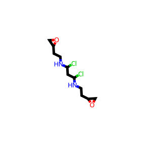 ClC(CC(Cl)NCCC1CO1)NCCC1CO1